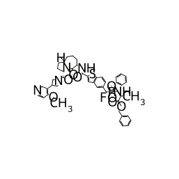 COc1ccncc1C1CN(C(=O)[C@@H]2CC[C@@H]3CCC[C@H](NC(=O)c4cc5cc([C@H](F)[P@](=O)(N[C@@H](C)C(=O)OCc6ccccc6)Oc6ccccc6)ccc5s4)C(=O)N32)C1